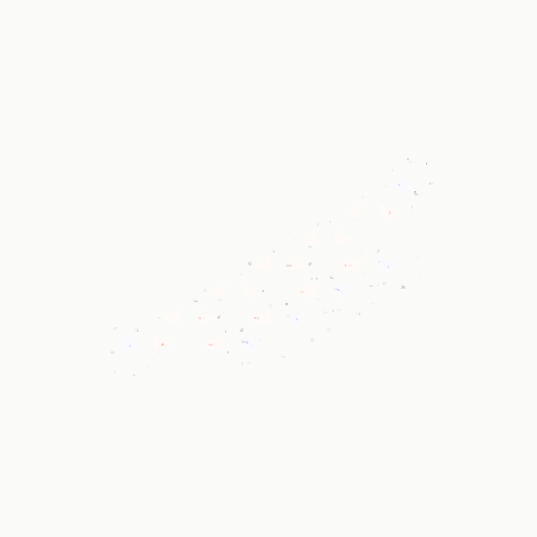 C[N+]1(CC(O)COCC(COCC(COCC(COCC(COCC(O)C[N+]2(C)CCCCC2)OCC(O)C[N+]2(C)CCCCC2)OCC(O)C[N+]2(C)CCCCC2)OCC(O)C[N+]2(C)CCCCC2)OCC(O)C[N+]2(C)CCCCC2)CCCCC1